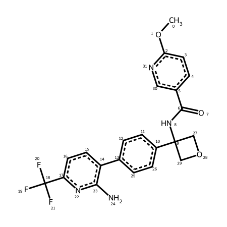 COc1ccc(C(=O)NC2(c3ccc(-c4ccc(C(F)(F)F)nc4N)cc3)COC2)cn1